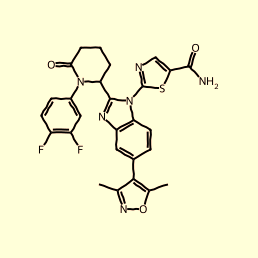 Cc1noc(C)c1-c1ccc2c(c1)nc(C1CCCC(=O)N1c1ccc(F)c(F)c1)n2-c1ncc(C(N)=O)s1